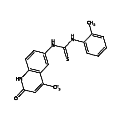 Cc1ccccc1NC(=S)Nc1ccc2[nH]c(=O)cc(C(F)(F)F)c2c1